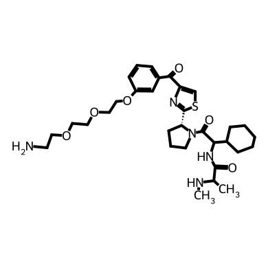 CNC(C)C(=O)NC(C(=O)N1CCC[C@@H]1c1nc(C(=O)c2cccc(OCCOCCOCCN)c2)cs1)C1CCCCC1